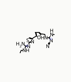 CCN/C(N)=N/c1nc(-c2ccc(CN/C(=N\C#N)NC)o2)cs1